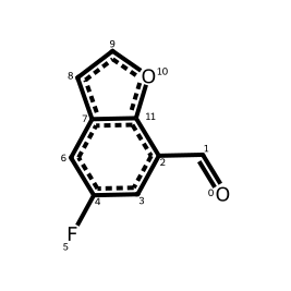 O=Cc1cc(F)cc2ccoc12